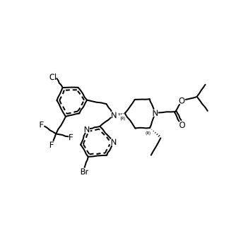 CC[C@@H]1C[C@H](N(Cc2cc(Cl)cc(C(F)(F)F)c2)c2ncc(Br)cn2)CCN1C(=O)OC(C)C